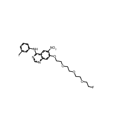 O=[N+]([O-])c1cc2c(Nc3cccc(I)c3)ncnc2cc1OCCOCCOCCOCCF